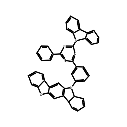 C1=CC2c3cc4oc5ccccc5c4cc3N(c3cccc(-c4nc(-c5ccccc5)nc(-n5c6ccccc6c6ccccc65)n4)c3)C2C=C1